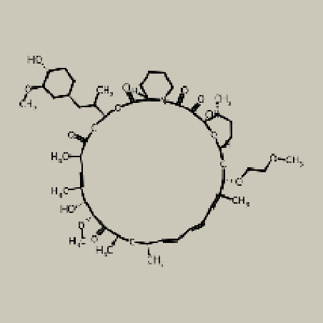 COCCO[C@H]1C[C@@H]2CC[C@@H](C)[C@@](O)(O2)C(=O)C(=O)N2CCCC[C@H]2C(=O)O[C@H](C(C)C[C@@H]2CC[C@@H](O)[C@H](OC)C2)CC(=O)[C@H](C)/C=C(\C)[C@@H](O)[C@@H](OC)C(=O)[C@H](C)C[C@H](C)/C=C/C=C/C=C/1C